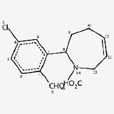 O=Cc1ccc(Cl)cc1C1CCC=CCN1C(=O)O